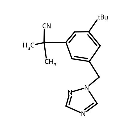 CC(C)(C)c1cc(Cn2cncn2)cc(C(C)(C)C#N)c1